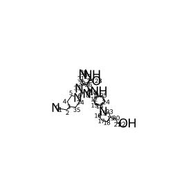 N#CCC1CCN(c2nc(Nc3ccc(N4CCC[C@H](CCO)C4)cc3)c3c(=O)[nH]ncc3n2)CC1